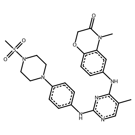 Cc1cnc(Nc2ccc(N3CCN(S(C)(=O)=O)CC3)cc2)nc1Nc1ccc2c(c1)N(C)C(=O)CO2